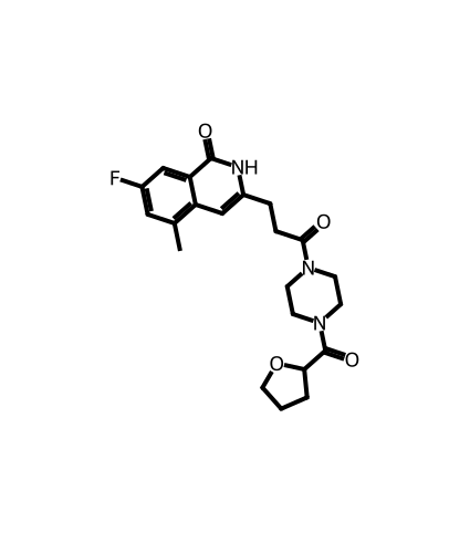 Cc1cc(F)cc2c(=O)[nH]c(CCC(=O)N3CCN(C(=O)C4CCCO4)CC3)cc12